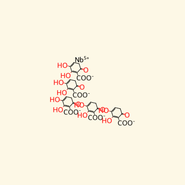 O=C([O-])C1=C(O)C(O)=CCC1=O.O=C([O-])C1=C(O)C(O)=CCC1=O.O=C([O-])C1=C(O)C(O)=CCC1=O.O=C([O-])C1=C(O)C(O)=CCC1=O.O=C([O-])C1=C(O)C(O)=CCC1=O.[Nb+5]